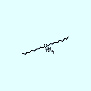 CCCCCCCCCCOCCCCCCCCCC.N.N